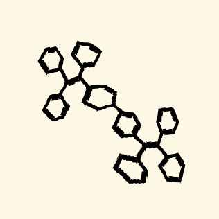 C1=CC(c2ccc(C(=C(c3ccccc3)c3ccccc3)c3ccccc3)cc2)CC=C1C(=C(c1ccccc1)c1ccccc1)c1ccccc1